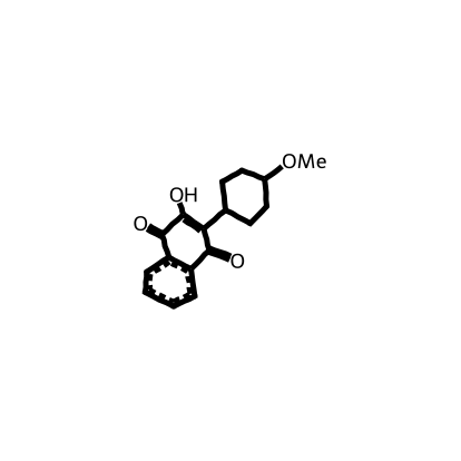 COC1CCC(C2=C(O)C(=O)c3ccccc3C2=O)CC1